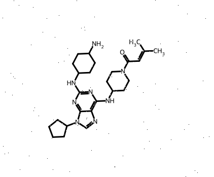 CC(C)=CC(=O)N1CCC(Nc2nc(NC3CCC(N)CC3)nc3c2ncn3C2CCCC2)CC1